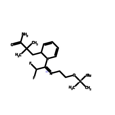 CC(C)(CC1C=CC=CN1/C(=N\CCO[Si](C)(C)C(C)(C)C)C(F)F)C(N)=O